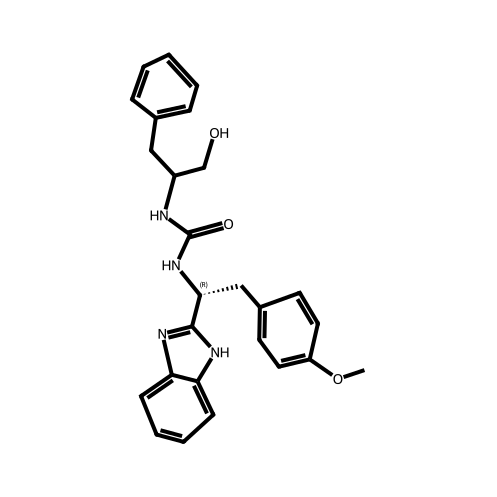 COc1ccc(C[C@@H](NC(=O)NC(CO)Cc2ccccc2)c2nc3ccccc3[nH]2)cc1